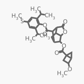 COC1CC2(C(=O)OC3C4CC5C3OC(=O)C5C4C(=O)Oc3c(C(C)C)cc(SC)cc3C(C)C)CC12